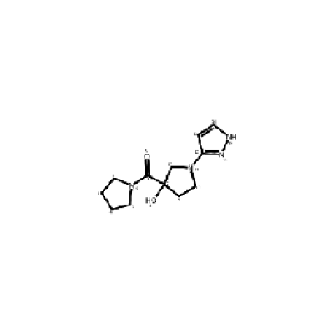 O=C(N1CCCC1)C1(O)CCN(c2cc[nH]n2)C1